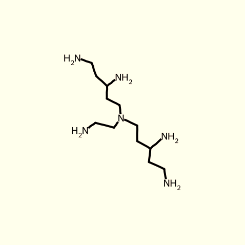 NCCC(N)CCN(CCN)CCC(N)CCN